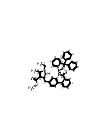 CCN1NC(Cc2ccc(-c3ccccc3-c3nnn(C(c4ccccc4)(c4ccccc4)c4ccccc4)n3)cc2)C(C(=O)OC)=C1C